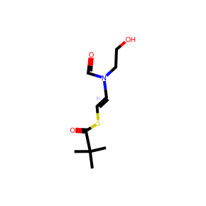 CC(C)(C)C(=O)S/C=C/N(C=O)CCO